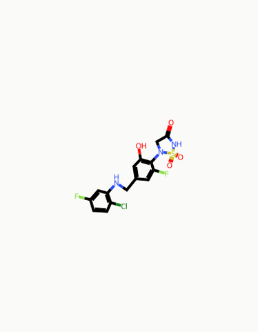 O=C1CN(c2c(O)cc(CNc3cc(F)ccc3Cl)cc2F)S(=O)(=O)N1